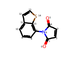 O=C1C=CC(=O)N1c1cccc2ccsc12